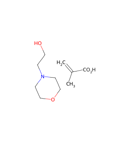 C=C(C)C(=O)O.OCCN1CCOCC1